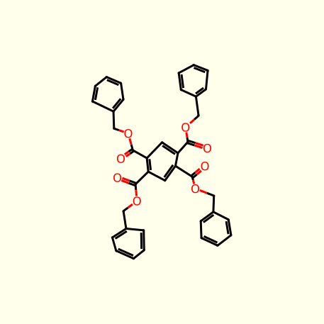 O=C(OCc1ccccc1)c1cc(C(=O)OCc2ccccc2)c(C(=O)OCc2ccccc2)cc1C(=O)OCc1ccccc1